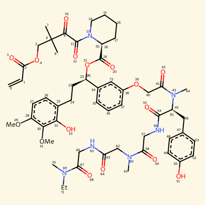 C=CC(=O)OCC(C)(C)C(=O)C(=O)N1CCCC[C@H]1C(=O)O[C@H](CCc1ccc(OC)c(OC)c1O)c1cccc(OCC(=O)N(C)[C@@H](Cc2ccc(O)cc2)C(=O)NCC(=O)N(C)CC(=O)NCC(=O)N(C)CC)c1